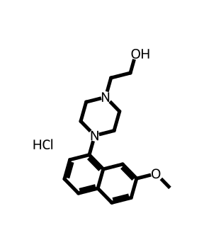 COc1ccc2cccc(N3CCN(CCO)CC3)c2c1.Cl